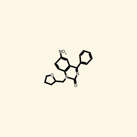 O=c1nc(-c2ccccc2)c2cc([N+](=O)[O-])ccc2n1CC1CCCO1